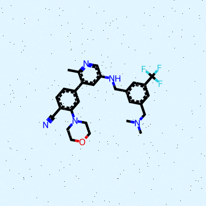 Cc1ncc(NCc2cc(CN(C)C)cc(C(F)(F)F)c2)cc1-c1ccc(C#N)c(N2CCOCC2)c1